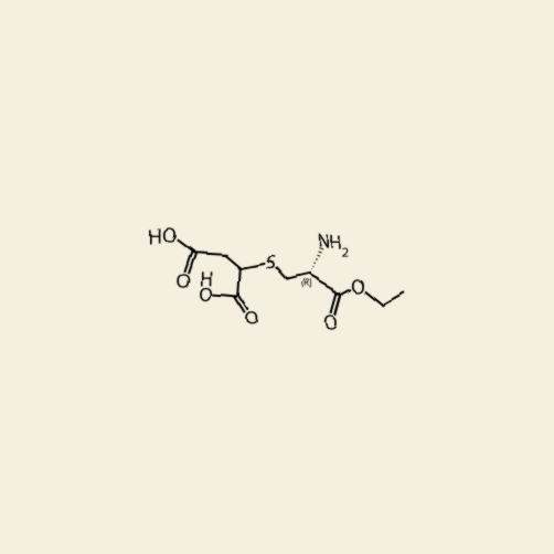 CCOC(=O)[C@@H](N)CSC(CC(=O)O)C(=O)O